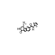 CC1CNC(=O)c2cc3ccc(C(=O)Nc4nccs4)nc3n21